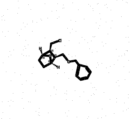 ClC[C@H]1[C@@H](COCc2ccccc2)[C@H]2CC[C@@H]1O2